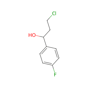 OC(CCCl)c1ccc(F)cc1